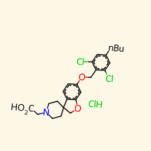 CCCCc1cc(Cl)c(COc2ccc3c(c2)OCC32CCN(CC(=O)O)CC2)c(Cl)c1.Cl